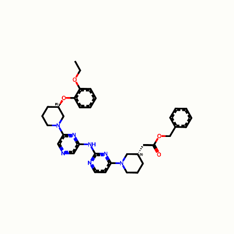 CCOc1ccccc1O[C@@H]1CCCN(c2cncc(Nc3nccc(N4CCC[C@@H](CC(=O)OCc5ccccc5)C4)n3)n2)C1